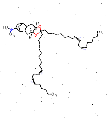 CCCCC/C=C\C/C=C\CCCCCCCCC1(CCCCCCCC/C=C\C/C=C\CCCCC)O[C@@H]2CC3C4CC(C3C[C@H]2O1)C(N(C)C)C4